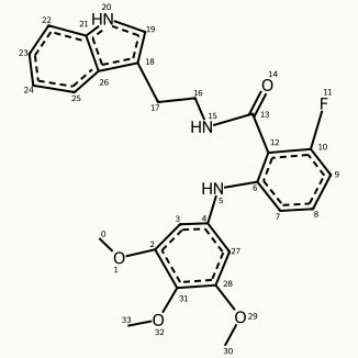 COc1cc(Nc2cccc(F)c2C(=O)NCCc2c[nH]c3ccccc23)cc(OC)c1OC